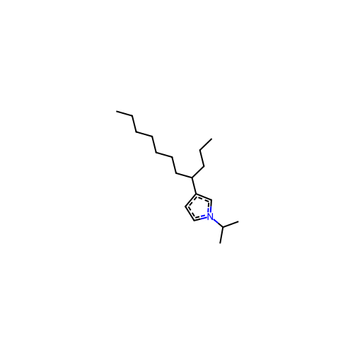 CCCCCCCC(CCC)c1ccn(C(C)C)c1